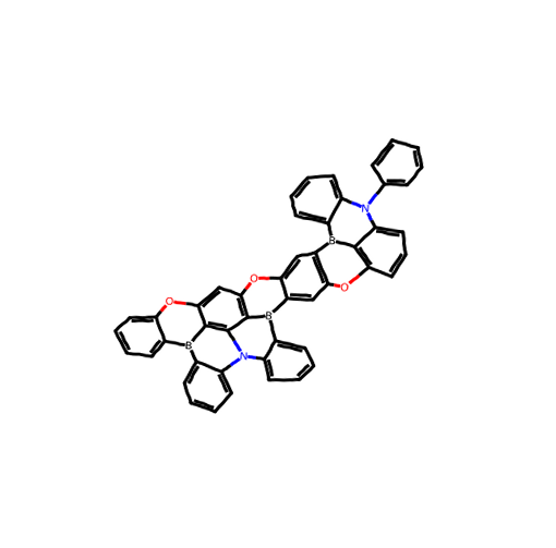 c1ccc(N2c3ccccc3B3c4cc5c(cc4Oc4cccc2c43)B2c3ccccc3N3c4ccccc4B4c6ccccc6Oc6cc(c2c3c64)O5)cc1